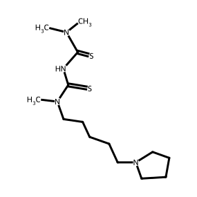 CN(C)C(=S)NC(=S)N(C)CCCCCN1CCCC1